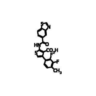 Cc1ccc(-c2csc(NC(=O)c3ccc4scnc4c3)c2C(=O)O)c(F)c1F